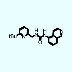 CC(C)(C)c1cccc(CNC(=O)Nc2cccc3cnccc23)n1